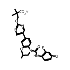 CC1CN(C(=O)Nc2ccc(Cl)cc2F)c2ccc(-c3cnc(OCC(C)(C)C(=O)O)nc3)cc2O1